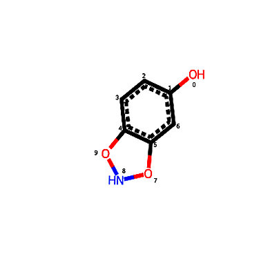 Oc1ccc2c(c1)ONO2